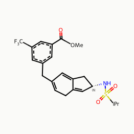 COC(=O)c1cc(CC2=CCC3=C[C@@H](NS(=O)(=O)C(C)C)CC3=C2)cc(C(F)(F)F)c1